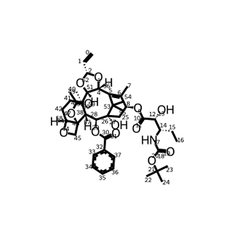 C=C[C@@H]1O[C@@H]2C3=C(C)[C@@H](OC(=O)[C@H](O)[C@H](CC)NC(=O)OC(C)(C)C)C[C@@](O)([C@@H](OC(=O)c4ccccc4)[C@H]4[C@@](C)(CC[C@H]5OC[C@]54OC(C)=O)[C@@H]2O1)C3(C)C